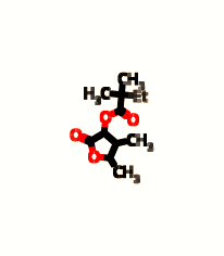 CCC(C)(C)C(=O)OC1C(=O)OC(C)C1C